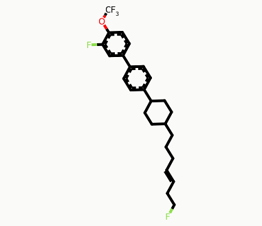 FCCC=CCCCC1CCC(c2ccc(-c3ccc(OC(F)(F)F)c(F)c3)cc2)CC1